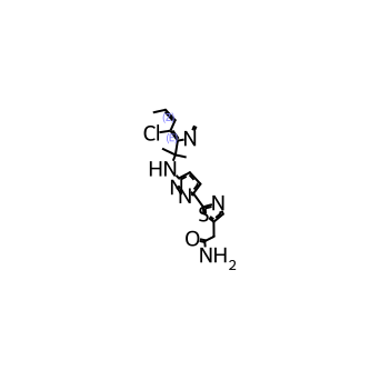 C=N/C(=C(Cl)\C=C/C)C(C)(C)Nc1ccc(-c2ncc(CC(N)=O)s2)nn1